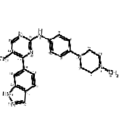 CN1CCN(c2ccc(Nc3ncc(Cl)c(-c4ccc5cn[nH]c5c4)n3)cc2)CC1